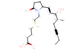 CCC#CC[C@H](C)[C@H](O)/C=C/C1CCC(=O)N1CCSCCCC(=O)O